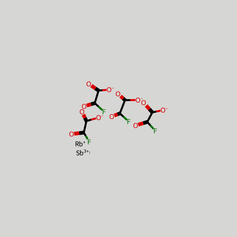 O=C([O-])C(=O)F.O=C([O-])C(=O)F.O=C([O-])C(=O)F.O=C([O-])C(=O)F.[Rb+].[Sb+3]